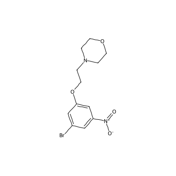 O=[N+]([O-])c1cc(Br)cc(OCCN2CCOCC2)c1